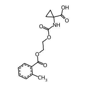 Cc1ccccc1C(=O)OCCOC(=O)NC1(C(=O)O)CC1